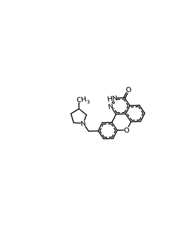 CC1CCN(Cc2ccc3c(c2)-c2n[nH]c(=O)c4cccc(c24)O3)C1